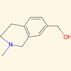 CN1CCc2ccc(CO)cc2C1